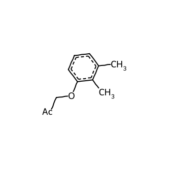 CC(=O)COc1cccc(C)c1C